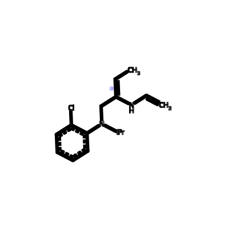 C=CN/C(=C\C)CN(c1ccccc1Cl)C(C)C